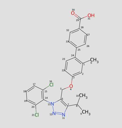 Cc1cc(OCc2c(C(C)C)nnn2-c2c(Cl)cccc2Cl)ccc1-c1ccc(C(=O)O)cc1